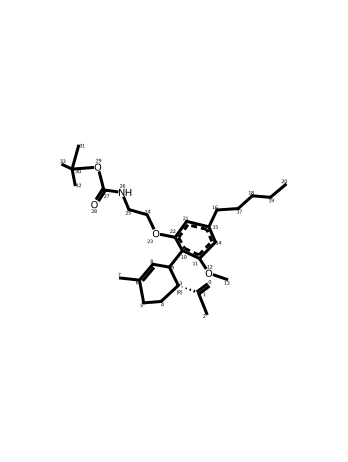 C=C(C)[C@@H]1CCC(C)=CC1c1c(OC)cc(CCCCC)cc1OCCNC(=O)OC(C)(C)C